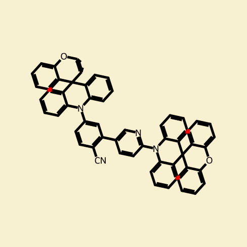 N#Cc1ccc(N2c3ccccc3C3(c4ccccc4Oc4ccccc43)c3ccccc32)cc1-c1ccc(N2c3ccccc3C3(c4ccccc4Oc4ccccc43)c3ccccc32)nc1